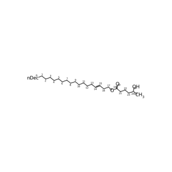 CCCCCCCCCCCCCCCCCCCCCCCC=CCCOC(=O)CCCC(C)O